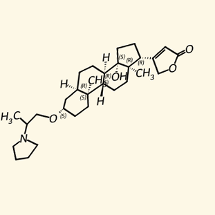 CC(CO[C@H]1CC[C@@]2(C)[C@H](CC[C@@H]3[C@@H]2CC[C@]2(C)[C@@H](C4=CC(=O)OC4)CC[C@]32O)C1)N1CCCC1